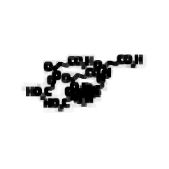 CCN.CCN.CCN.O=C(O)CCC(=O)OOCC(=O)O.O=C(O)CCC(=O)OOCC(=O)O.O=C(O)CCC(=O)OOCC(=O)O